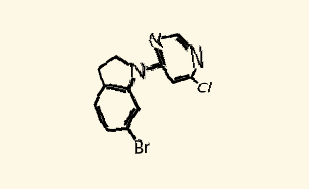 Clc1cc(N2CCc3ccc(Br)cc32)ncn1